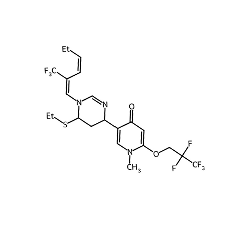 CC/C=C\C(=C/N1C=NC(c2cn(C)c(OCC(F)(F)C(F)(F)F)cc2=O)CC1SCC)C(F)(F)F